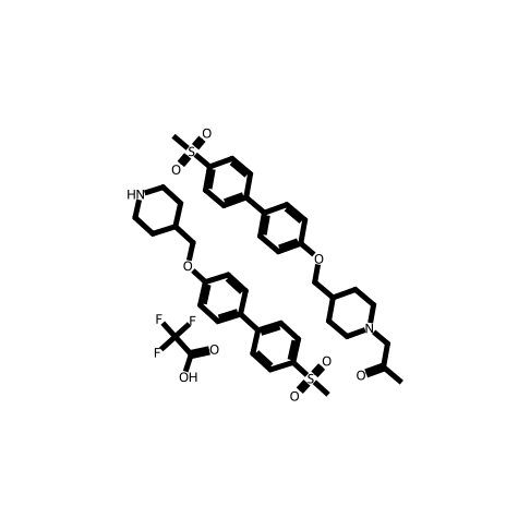 CC(=O)CN1CCC(COc2ccc(-c3ccc(S(C)(=O)=O)cc3)cc2)CC1.CS(=O)(=O)c1ccc(-c2ccc(OCC3CCNCC3)cc2)cc1.O=C(O)C(F)(F)F